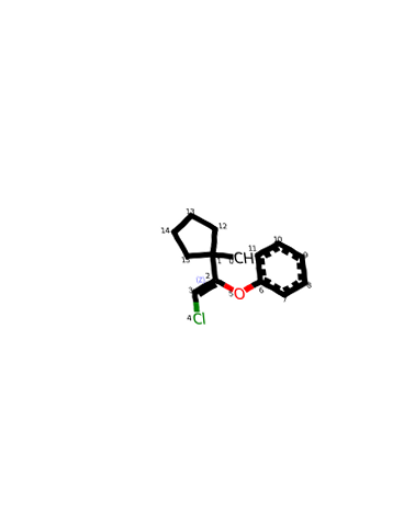 CC1(/C(=C/Cl)Oc2ccccc2)CCCC1